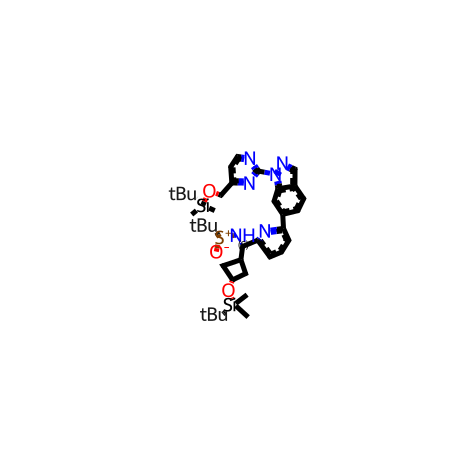 CC(C)(C)[S+]([O-])N[C@H](c1cccc(-c2ccc3cnn(-c4nccc(CO[Si](C)(C)C(C)(C)C)n4)c3c2)n1)C1CC(O[Si](C)(C)C(C)(C)C)C1